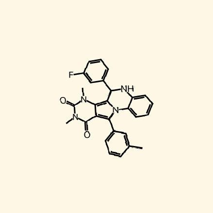 Cc1cccc(-c2c3c(=O)n(C)c(=O)n(C)c3c3n2-c2ccccc2NC3c2cccc(F)c2)c1